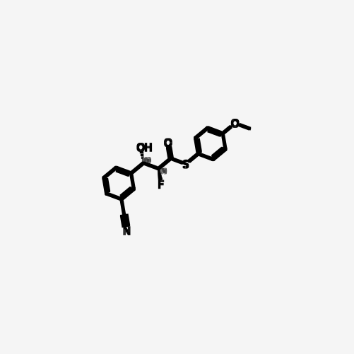 COc1ccc(SC(=O)[C@@H](F)[C@@H](O)c2cccc(C#N)c2)cc1